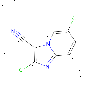 N#Cc1c(Cl)nc2ccc(Cl)cn12